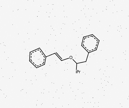 CC(C)C(Cc1ccccc1)OC=Cc1ccccc1